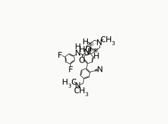 CN(C)Cc1ccc(-c2ccc([C@]3(O)[C@@H]4CN(C)C[C@H]3CN(C(=O)Nc3cc(F)cc(F)c3)C4)cc2)c(C#N)c1